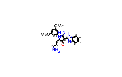 COc1cc(OC)cc(N2C(N)=C(c3nc4ccccc4[nH]3)C(=O)C2CCCN)c1